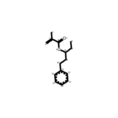 C=C(C)C(=O)OC(CC)CCc1ccccc1